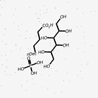 CCCCCCCCCCCCCC(=O)O.O=P(O)(O)O.OCC(O)C(O)C(O)C(O)CO